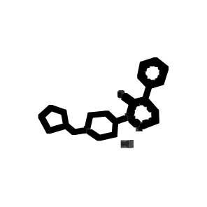 Cl.O=c1c(-c2ccccc2)ccnn1C1CCN(CC2CCCC2)CC1